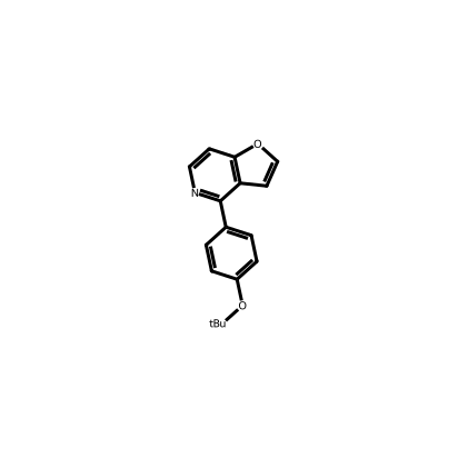 CC(C)(C)Oc1ccc(-c2nccc3occc23)cc1